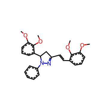 COc1cccc(C=CC2=NN(c3ccccc3)C(c3cccc(OC)c3OC)C2)c1OC